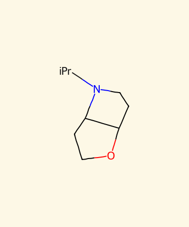 CC(C)N1CCC2OCCC21